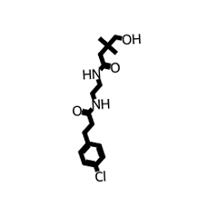 CC(C)(CO)CC(=O)NCCNC(=O)CCc1ccc(Cl)cc1